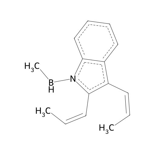 CBn1c(/C=C\C)c(/C=C\C)c2ccccc21